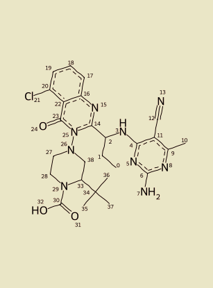 CCC(Nc1nc(N)nc(C)c1C#N)c1nc2cccc(Cl)c2c(=O)n1N1CCN(C(=O)O)C(C(C)(C)C)C1